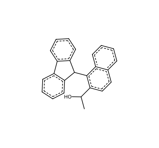 CC(O)c1ccc2ccccc2c1C1c2ccccc2-c2ccccc21